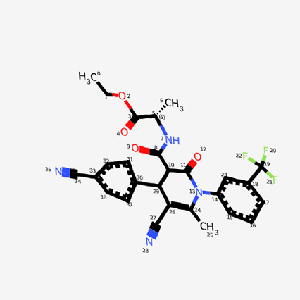 CCOC(=O)[C@H](C)NC(=O)C1C(=O)N(c2cccc(C(F)(F)F)c2)C(C)=C(C#N)C1c1ccc(C#N)cc1